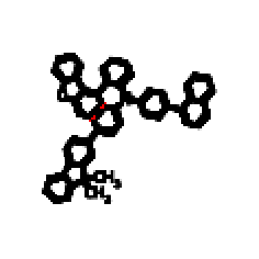 CC1(C)c2ccccc2-c2ccc(-c3ccc(N(c4ccc(-c5cccc6ccccc56)cc4)c4ccccc4-c4cccc5oc6ccccc6c45)cc3)cc21